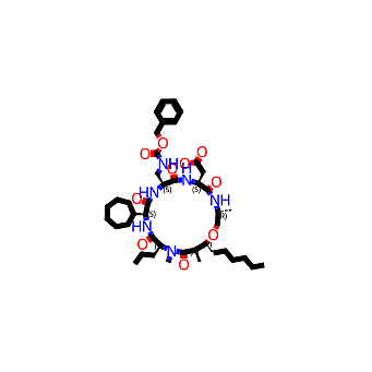 CCCCCC[C@H]1OC[C@@H](C)NC(=O)[C@H](CC(=O)O)NC(=O)[C@H](CNC(=O)OCc2ccccc2)NC(=O)[C@H](C2CCCCCC2)NC(=O)[C@H](CCC)N(C)C(=O)[C@@H]1C